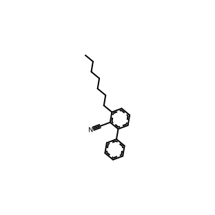 CCCCCCCc1cccc(-c2ccccc2)c1C#N